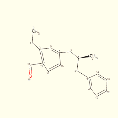 CCc1cc(C[C@@H](C)Cc2ccccc2)ccc1C=O